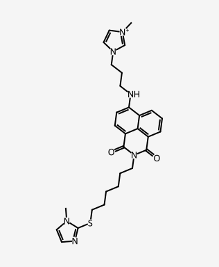 Cn1ccnc1SCCCCCCN1C(=O)c2cccc3c(NCCCn4cc[n+](C)c4)ccc(c23)C1=O